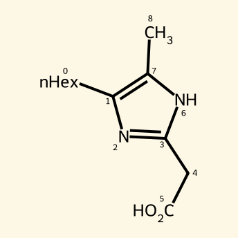 CCCCCCc1nc(CC(=O)O)[nH]c1C